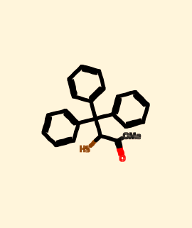 COC(=O)C(S)C(c1ccccc1)(c1ccccc1)c1ccccc1